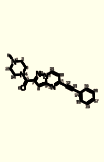 CN1CCN(C(=O)c2cc3nc(C#Cc4ccccc4)ccn3n2)CC1